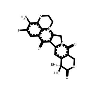 CC[C@@]1(O)C(=O)OCc2c1cc1n(c2=O)Cc2c-1c(=O)c1cc(F)c(N)c3c1n2CCS3